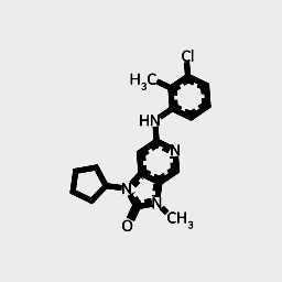 Cc1c(Cl)cccc1Nc1cc2c(cn1)n(C)c(=O)n2C1CCCC1